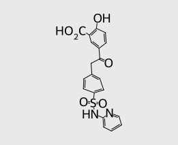 O=C(Cc1ccc(S(=O)(=O)Nc2ccccn2)cc1)c1ccc(O)c(C(=O)O)c1